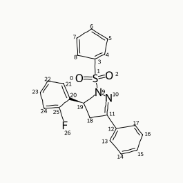 O=S(=O)(c1ccccc1)N1N=C(c2ccccc2)C[C@H]1c1ccccc1F